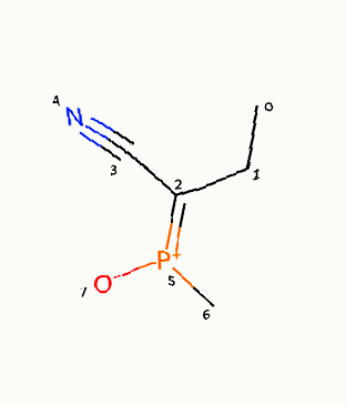 CC/C(C#N)=[P+](\C)[O-]